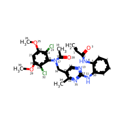 C=CC(=O)Nc1ccccc1Nc1ncc(CN(C(C)=O)c2c(Cl)c(OC)cc(OC)c2Cl)c(C)n1